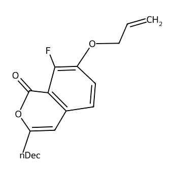 C=CCOc1ccc2cc(CCCCCCCCCC)oc(=O)c2c1F